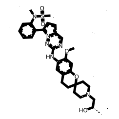 COc1cc2c(cc1Nc1ncc3ccc(-c4ccccc4N(C)S(C)(=O)=O)n3n1)CCC1(CCN(C[C@H](C)O)CC1)O2